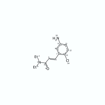 CCN(CC)C(=O)C=Cc1cc(N)ccc1Cl